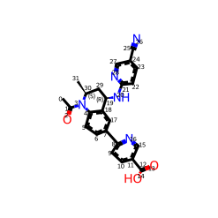 CC(=O)N1c2ccc(-c3ccc(C(=O)O)cn3)cc2[C@H](Nc2ccc(C#N)cn2)C[C@@H]1C